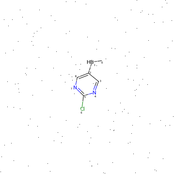 CBc1cnc(Cl)nc1